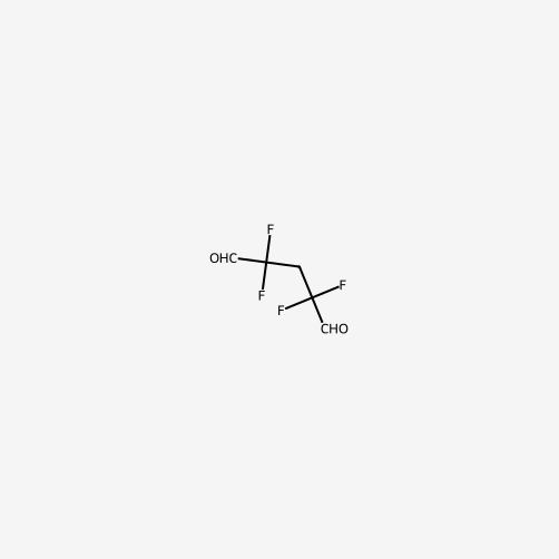 O=CC(F)(F)CC(F)(F)C=O